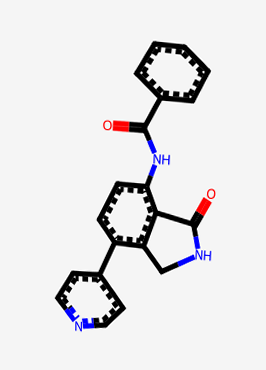 O=C(Nc1ccc(-c2ccncc2)c2c1C(=O)NC2)c1ccccc1